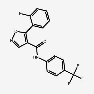 O=C(Nc1ccc(C(F)(F)F)cc1)c1cnoc1-c1ccccc1F